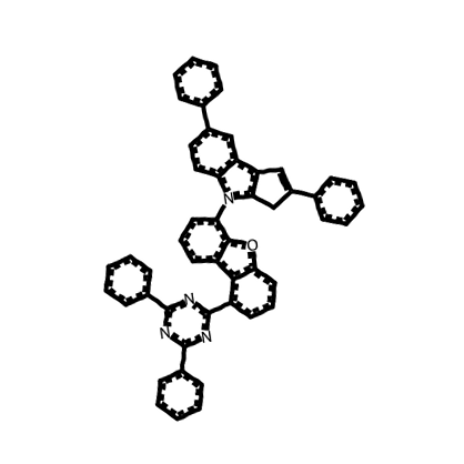 C1=C(c2ccccc2)Cc2c1c1cc(-c3ccccc3)ccc1n2-c1cccc2c1oc1cccc(-c3nc(-c4ccccc4)nc(-c4ccccc4)n3)c12